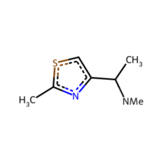 CNC(C)c1csc(C)n1